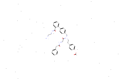 CN(C)CCNC(=O)c1ccccc1-c1ccc(CN(CCc2ccc(OC(=O)C(F)(F)F)cc2)C(=O)CNC(=O)Cc2ccccc2)cc1